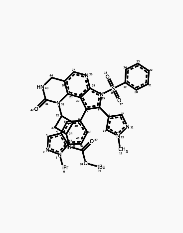 CC(C)n1ncc2cc(-c3c(-c4cnn(C)c4)n(S(=O)(=O)c4ccccc4)c4ncc5c(c34)N(C3CC(NC(=O)OC(C)(C)C)C3)C(=O)NC5)ccc21